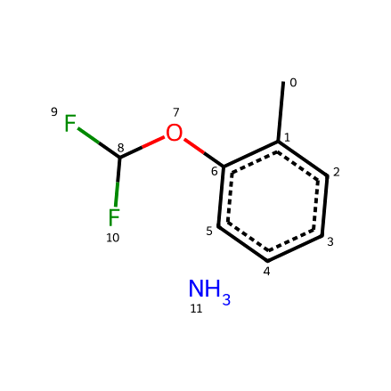 Cc1ccccc1OC(F)F.N